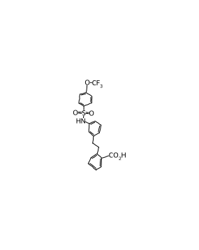 O=C(O)c1ccccc1CCc1cccc(NS(=O)(=O)c2ccc(OC(F)(F)F)cc2)c1